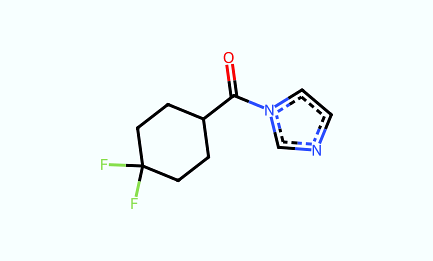 O=C(C1CCC(F)(F)CC1)n1ccnc1